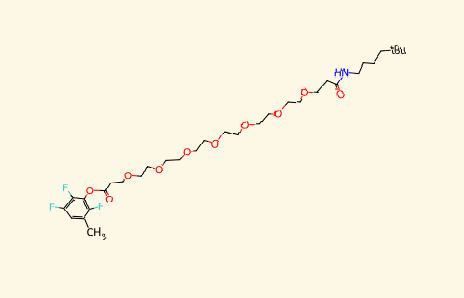 Cc1cc(F)c(F)c(OC(=O)CCOCCOCCOCCOCCOCCOCCOCCC(=O)NCCCCC(C)(C)C)c1F